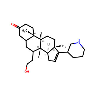 C[C@]12CCC(=O)CC1CC(CCO)[C@@H]1[C@H]2CC[C@]2(C)C(C3CCCNC3)=CC[C@@H]12